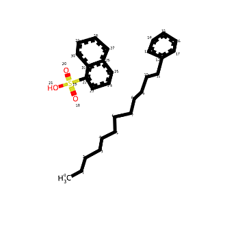 CCCCCCCCCCCCc1ccccc1.O=S(=O)(O)c1cccc2ccccc12